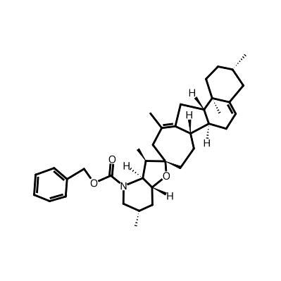 CC1=C2C[C@H]3[C@@H](CC=C4C[C@@H](C)CC[C@@]43C)[C@@H]2CC[C@@]2(C1)O[C@@H]1C[C@H](C)CN(C(=O)OCc3ccccc3)[C@H]1[C@H]2C